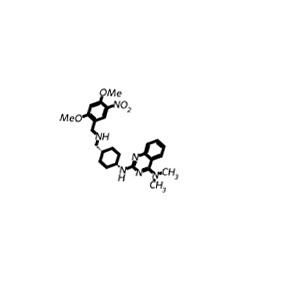 COc1cc(OC)c([N+](=O)[O-])cc1CNC[C@H]1CC[C@@H](Nc2nc(N(C)C)c3ccccc3n2)CC1